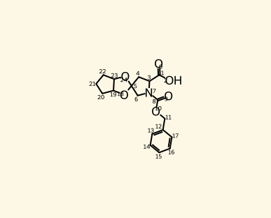 O=C(O)C1CC2(CN1C(=O)OCc1ccccc1)OC1CCCC1O2